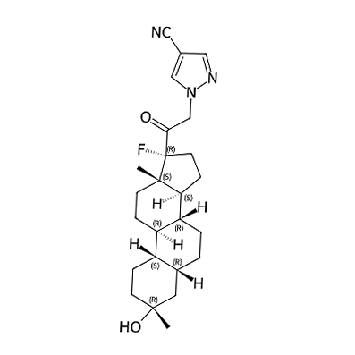 C[C@@]1(O)CC[C@H]2[C@H](CC[C@@H]3[C@@H]2CC[C@@]2(C)[C@H]3CC[C@]2(F)C(=O)Cn2cc(C#N)cn2)C1